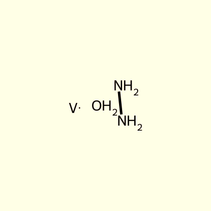 NN.O.[V]